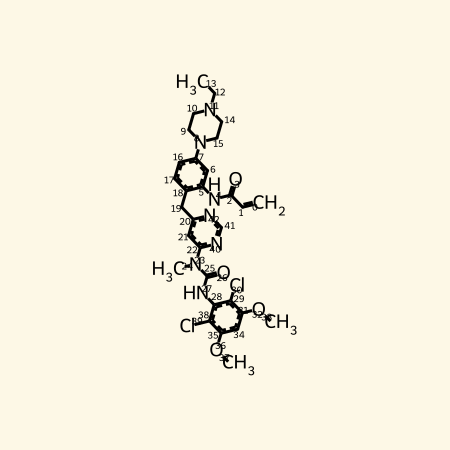 C=CC(=O)Nc1cc(N2CCN(CC)CC2)ccc1Cc1cc(N(C)C(=O)Nc2c(Cl)c(OC)cc(OC)c2Cl)ncn1